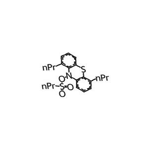 CCCc1cccc2c1Sc1cccc(CCC)c1N2OS(=O)(=O)CCC